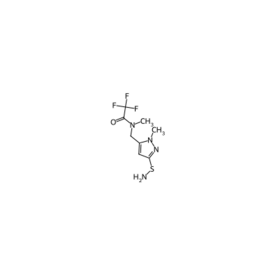 CN(Cc1cc(SN)nn1C)C(=O)C(F)(F)F